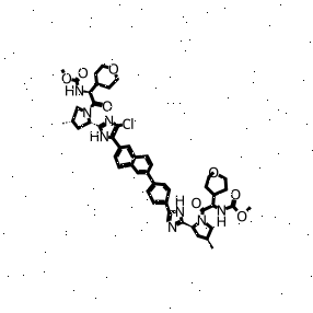 COC(=O)NC(C(=O)N1C[C@@H](C)C[C@H]1c1ncc(-c2ccc(-c3ccc4cc(-c5[nH]c([C@@H]6C[C@H](C)CN6C(=O)[C@@H](NC(=O)OC)C6CCOCC6)nc5Cl)ccc4c3)cc2)[nH]1)C1CCOCC1